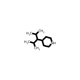 CC(C)C(C(C)C)C1CCNCC1